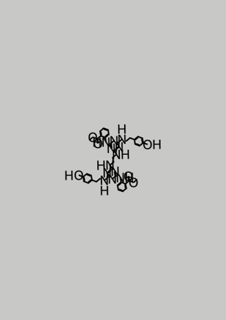 COC(=O)c1ccccc1Nc1nc(NCCNc2nc(NCCc3ccc(O)cc3)nc(Nc3ccccc3C(=O)OC)n2)nc(NCCc2ccc(O)cc2)n1